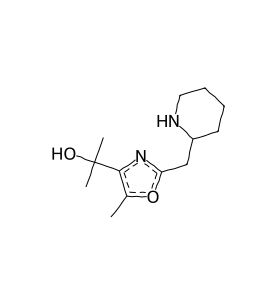 Cc1oc(CC2CCCCN2)nc1C(C)(C)O